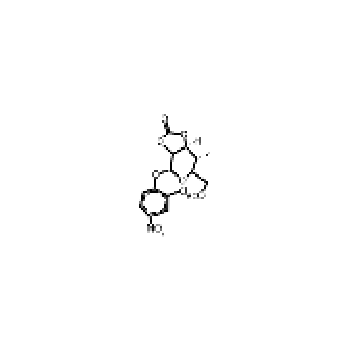 CC(=O)OCC1O[C@@H](Oc2ccc([N+](=O)[O-])cc2Cl)C2OC(=O)O[C@H]2[C@@H]1C